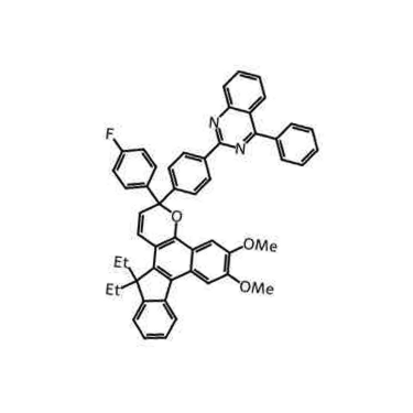 CCC1(CC)c2ccccc2-c2c1c1c(c3cc(OC)c(OC)cc23)OC(c2ccc(F)cc2)(c2ccc(-c3nc(-c4ccccc4)c4ccccc4n3)cc2)C=C1